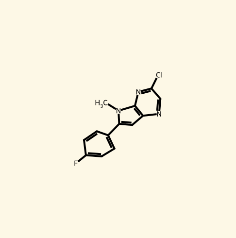 Cn1c(-c2ccc(F)cc2)cc2ncc(Cl)nc21